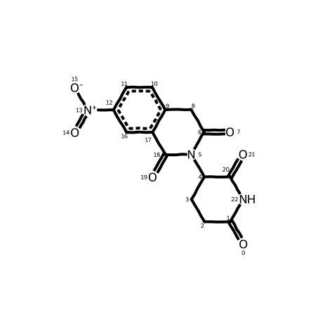 O=C1CCC(N2C(=O)Cc3ccc([N+](=O)[O-])cc3C2=O)C(=O)N1